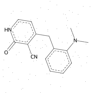 CN(C)c1ccccc1Cc1cc[nH]c(=O)c1C#N